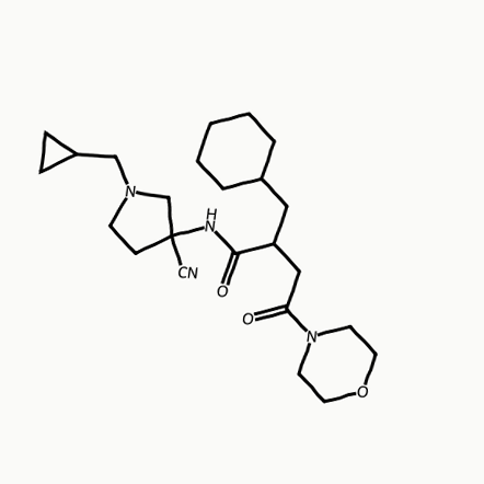 N#CC1(NC(=O)C(CC(=O)N2CCOCC2)CC2CCCCC2)CCN(CC2CC2)C1